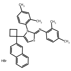 Br.Cc1ccc(N=c2scc(C3(c4ccc5ccccc5c4)CCC3)n2-c2ccc(C)cc2C)c(C)c1